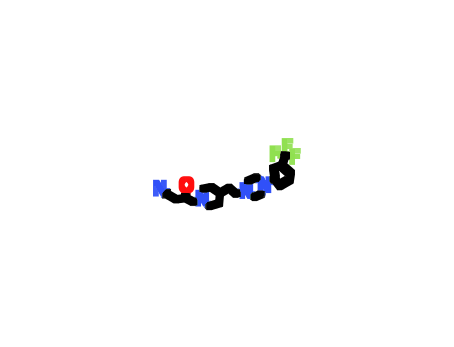 N#CCC(=O)CN1CCC(CCN2CCN(c3cccc(C(F)(F)F)c3)CC2)CC1